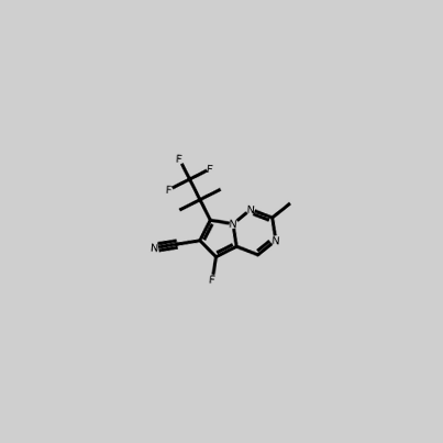 Cc1ncc2c(F)c(C#N)c(C(C)(C)C(F)(F)F)n2n1